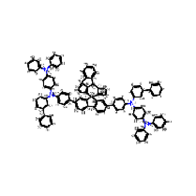 c1ccc(-c2cccc(N(c3ccc(-c4ccc5c(c4)C4(c6cc(-c7ccc(N(c8ccc(N(c9ccccc9)c9ccccc9)cc8)c8cccc(-c9ccccc9)c8)cc7)ccc6-5)c5ccccc5C5c6ccccc6-c6cccc4c65)cc3)c3ccc(N(c4ccccc4)c4ccccc4)cc3)c2)cc1